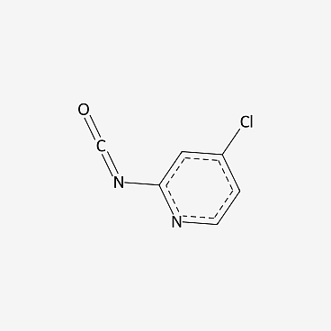 O=C=Nc1cc(Cl)ccn1